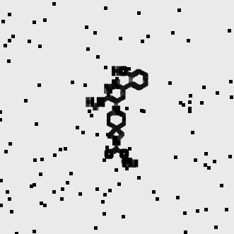 CC(C)(C)OC(=O)N1CC2(CCN(c3cc(-c4ccccc4O)nnc3N)CC2)C1